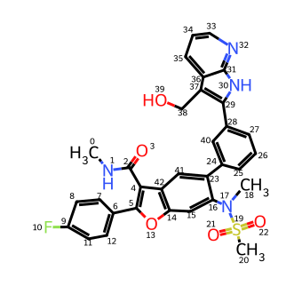 CNC(=O)c1c(-c2ccc(F)cc2)oc2cc(N(C)S(C)(=O)=O)c(-c3cccc(-c4[nH]c5ncccc5c4CO)c3)cc12